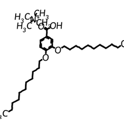 CCCCCCCCCCCOc1ccc(C(=O)O)cc1OCCCCCCCCCCC.C[N+](C)(C)C